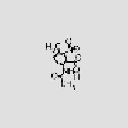 CC(=O)Nc1ccc(C)c([N+](=O)[O-])c1C(=O)O